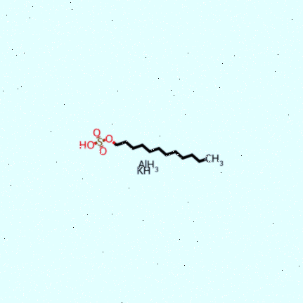 CCCCCCCCCCCCOS(=O)(=O)O.[AlH3].[KH]